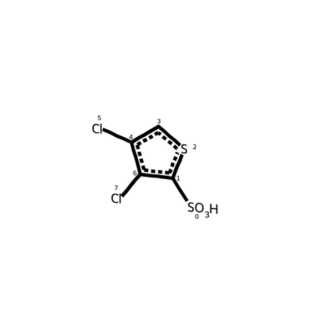 O=S(=O)(O)c1scc(Cl)c1Cl